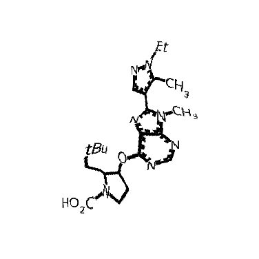 CCn1ncc(-c2nc3c(OC4CCN(C(=O)O)C4CC(C)(C)C)ncnc3n2C)c1C